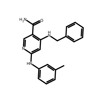 Cc1cccc(Nc2cc(NCc3ccccc3)c(C(N)=O)cn2)c1